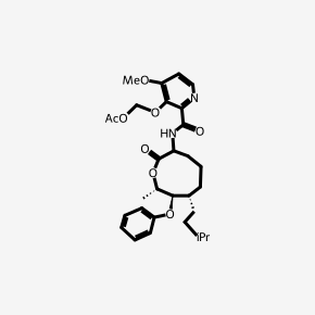 COc1ccnc(C(=O)NC2CCC[C@H](CCC(C)C)[C@@H](Oc3ccccc3)[C@H](C)OC2=O)c1OCOC(C)=O